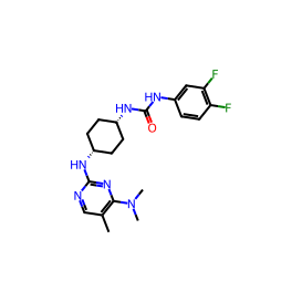 Cc1cnc(N[C@H]2CC[C@@H](NC(=O)Nc3ccc(F)c(F)c3)CC2)nc1N(C)C